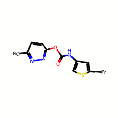 CC(C)c1cc(NC(=O)Oc2ccc(C#N)nn2)cs1